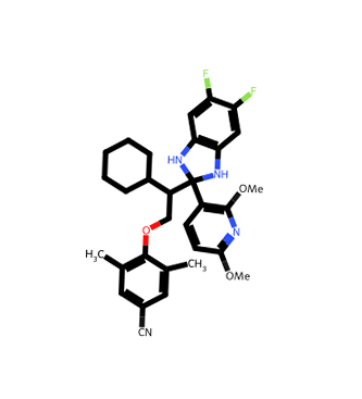 COc1ccc(C2(C(COc3c(C)cc(C#N)cc3C)C3CCCCC3)Nc3cc(F)c(F)cc3N2)c(OC)n1